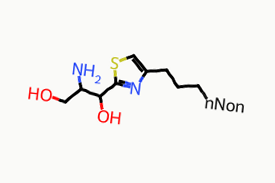 CCCCCCCCCCCCc1csc(C(O)C(N)CO)n1